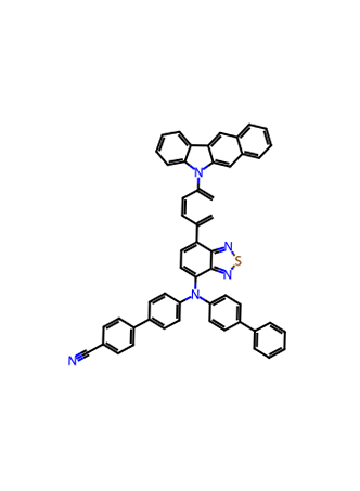 C=C(/C=C\C(=C)n1c2ccccc2c2cc3ccccc3cc21)c1ccc(N(c2ccc(-c3ccccc3)cc2)c2ccc(-c3ccc(C#N)cc3)cc2)c2nsnc12